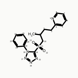 CC(CCc1ccccn1)CS(=O)(=O)c1nnnn1-c1ccccc1